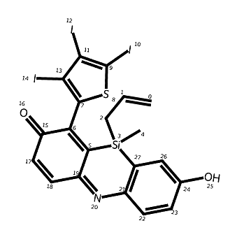 C=CC[Si]1(C)C2=C(c3sc(I)c(I)c3I)C(=O)C=CC2=Nc2ccc(O)cc21